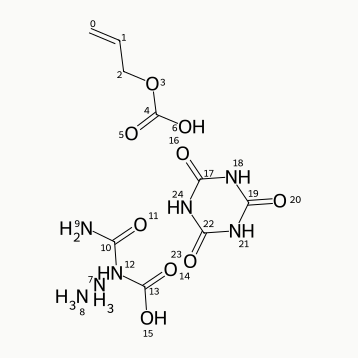 C=CCOC(=O)O.N.N.NC(=O)NC(=O)O.O=c1[nH]c(=O)[nH]c(=O)[nH]1